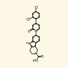 Cn1c2c(c3ccc(-n4ccc(-c5ccc(Cl)cc5Cl)cc4=O)cc31)CN(C(=O)O)CC2